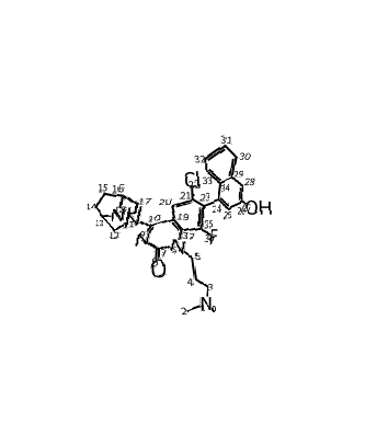 CN(C)CCCn1c(=O)nc(N2CC3CCC(C2)N3)c2cc(Cl)c(-c3cc(O)cc4ccccc34)c(F)c21